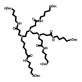 CCCCCCCCCCCCCCNC(=O)CCCCCN(CCC(=O)NCCCCCCCCCCCCCC)CCN(CCC(=O)NCCCCCCCCCCCCCC)CCN(CCC(=O)NCCCCCCCCCCCCCC)CCC(=O)NCCCCCCCCCCCCCC